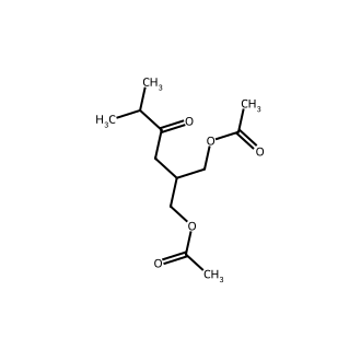 CC(=O)OCC(COC(C)=O)CC(=O)C(C)C